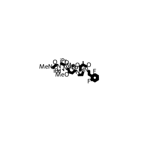 CC[C@H](C)C([C@@H](CC(=O)N1CCC[C@H]1[C@H](OC)[C@@H](C)C(=O)NCCc1c(F)cccc1F)OC)N(C)C(=O)[C@@H](NC(=O)[C@@H](NC)C(C)C)C(C)C